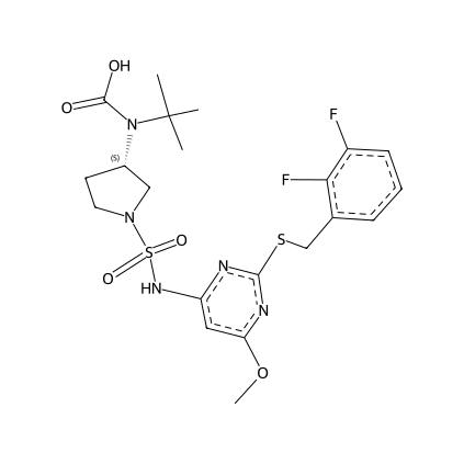 COc1cc(NS(=O)(=O)N2CC[C@H](N(C(=O)O)C(C)(C)C)C2)nc(SCc2cccc(F)c2F)n1